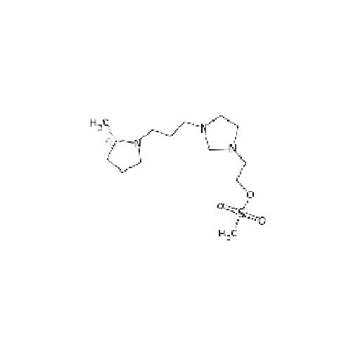 C[C@H]1CCCN1CCCN1CCN(CCOS(C)(=O)=O)C1